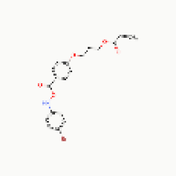 C=CC(=O)OCCCOc1ccc(C(=O)ONc2ccc(Br)cc2)cc1